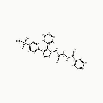 CS(=O)(=O)c1ccc(C2=C(c3ccccc3)C(OC(=O)NOC(=O)c3ccccc3)CC2)cc1